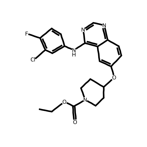 CCOC(=O)N1CCC(Oc2ccc3ncnc(Nc4ccc(F)c(Cl)c4)c3c2)CC1